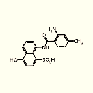 Cc1ccc(C(=O)Nc2cccc3c(O)ccc(S(=O)(=O)O)c23)c(N)c1